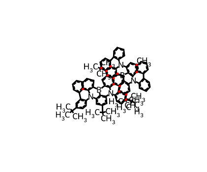 Cc1cc2c3c(c1)N(c1ccccc1-c1cccc(-c4ccc5c(c4)B4c6ccccc6N(c6ccc(C(C)(C)C)cc6-c6ccccc6)c6cc(C(C)(C)C)cc(c64)N5c4ccc(C(C)(C)C)cc4-c4ccccc4)c1)c1cc(C(C)(C)C)ccc1B3c1ccc(C(C)(C)C)cc1N2c1ccccc1-c1ccccc1